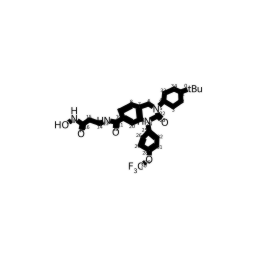 CC(C)(C)C1CCC(N(Cc2ccc(C(=O)NCCC(=O)NO)cc2)C(=O)Nc2ccc(OC(F)(F)F)cc2)CC1